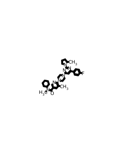 Cc1cc(C(=O)N(C)C2CCCCC2)cnc1N1CCN(c2cc(-c3ccc(F)cc3)nc(N3CCCC3C)n2)CC1